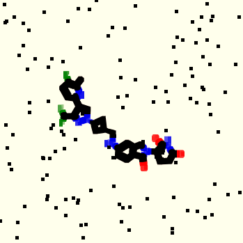 Cc1nc(-c2cn([C@H]3C[C@H](CNc4ccc5c(c4)CN(C4CCC(=O)NC4=O)C5=O)C3)nc2C(F)F)ccc1F